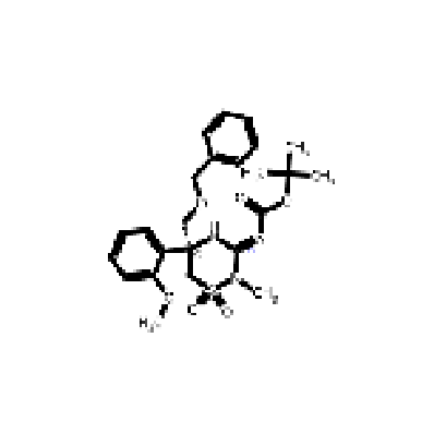 COc1ccccc1[C@]1(COCc2ccccc2)CS(=O)(=O)N(C)/C(=N/C(=O)OC(C)(C)C)N1